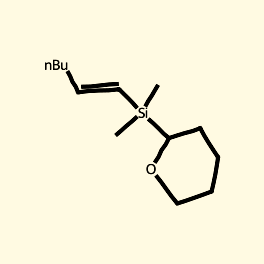 CCCCC=C[Si](C)(C)C1CCCCO1